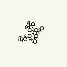 CC(C)(C)c1ccc(N2B3c4cccc5c4N(c4ccccc4C54c5ccccc5-c5ccccc54)c4cc5c(oc6ccccc65)c(c43)-c3ccc4c(oc5ccccc54)c32)cc1